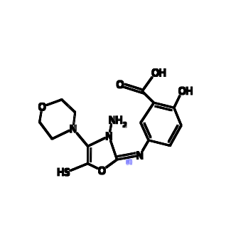 Nn1c(N2CCOCC2)c(S)o/c1=N/c1ccc(O)c(C(=O)O)c1